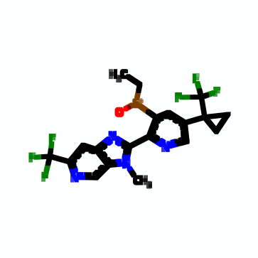 CC[S+]([O-])c1cc(C2(C(F)(F)F)CC2)cnc1-c1nc2cc(C(F)(F)F)ncc2n1C